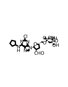 O=C[C@@H]1C[C@@H](COP(=O)(O)CP(=O)(O)O)O[C@H]1n1cnc2c(NC3CCCC3)nc(Cl)nc21